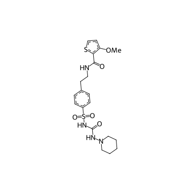 COc1ccsc1C(=O)NCCc1ccc(S(=O)(=O)NC(=O)NN2CCCCC2)cc1